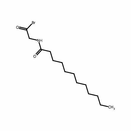 CCCCCCCCCCCC(=O)NCC(=O)Br